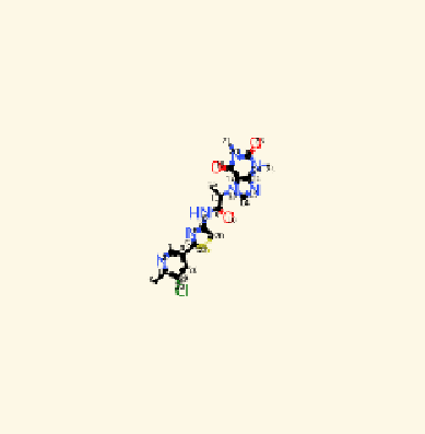 Cc1ncc(-c2nc(NC(=O)C(C)n3cnc4c3c(=O)n(C)c(=O)n4C)cs2)cc1Cl